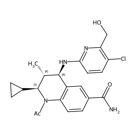 CC(=O)N1c2ccc(C(N)=O)cc2[C@H](Nc2ccc(Cl)c(CO)n2)[C@@H](C)[C@@H]1C1CC1